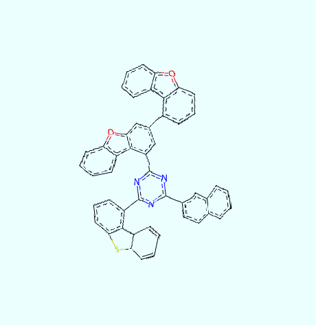 C1=CC2Sc3cccc(-c4nc(-c5ccc6ccccc6c5)nc(-c5cc(-c6cccc7oc8ccccc8c67)cc6oc7ccccc7c56)n4)c3C2C=C1